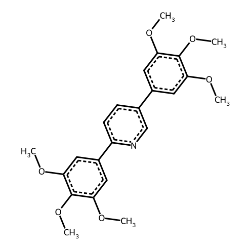 COc1cc(-c2ccc(-c3cc(OC)c(OC)c(OC)c3)nc2)cc(OC)c1OC